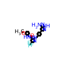 COc1cccc(NC(=O)c2cc(C(F)(F)F)cnc2NCc2ccc(-c3cnc4[nH]nc(N)c4c3)cc2)c1